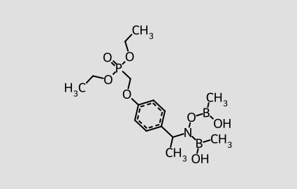 CCOP(=O)(COc1ccc(C(C)N(OB(C)O)B(C)O)cc1)OCC